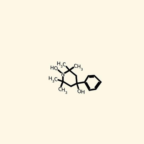 CC1(C)CC(O)(c2ccccc2)CC(C)(C)N1O